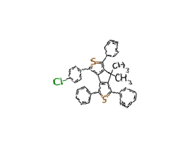 CC1(C)c2c(-c3ccccc3)sc(-c3ccccc3)c2-c2c(-c3ccc(Cl)cc3)sc(-c3ccccc3)c21